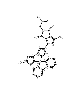 CCCCC(CC)CN1C(=O)c2c(C)sc(-c3cc4c(s3)-c3sc(C)cc3[Si]43c4ccccc4-c4ccccc43)c2C1=O